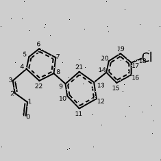 C=C/C=C\c1cccc(-c2cccc(-c3ccc(Cl)cc3)c2)c1